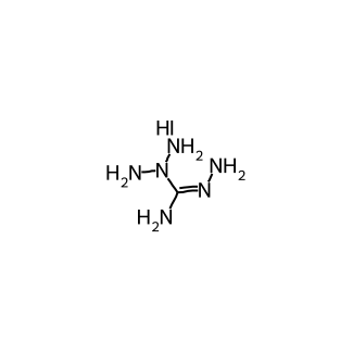 I.NN=C(N)N(N)N